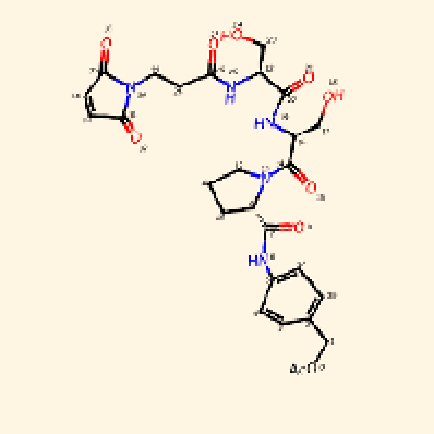 CC(=O)OCc1ccc(NC(=O)[C@@H]2CCCN2C(=O)[C@H](CO)NC(=O)[C@H](CO)NC(=O)CCN2C(=O)C=CC2=O)cc1